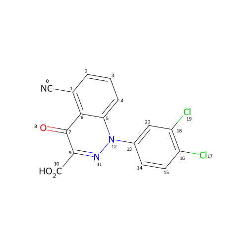 N#Cc1cccc2c1c(=O)c(C(=O)O)nn2-c1ccc(Cl)c(Cl)c1